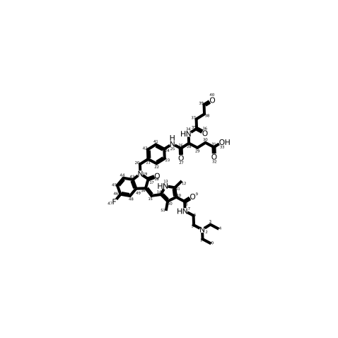 CCN(CC)CCNC(=O)c1c(C)[nH]c(/C=C2\C(=O)N(Cc3ccc(NC(=O)C(CCC(=O)O)NC(=O)CCC=O)cc3)c3ccc(F)cc32)c1C